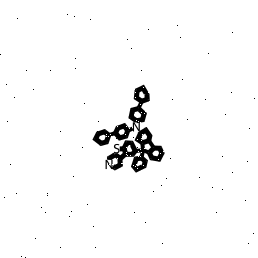 c1ccc(-c2ccc(N(c3ccc(-c4ccccc4)cc3)c3ccc4c(c3)C(c3ccccc3)(c3ccc5sc6cnccc6c5c3)c3ccccc3-4)cc2)cc1